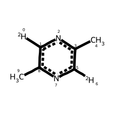 [2H]c1nc(C)c([2H])nc1C